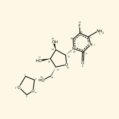 C1COCO1.Nc1nc(=O)n([C@@H]2O[C@H](CO)[C@@H](O)[C@H]2O)cc1F